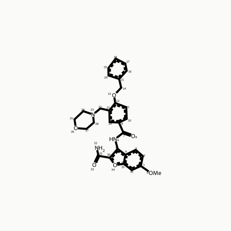 COc1ccc2c(NC(=O)c3ccc(OCc4ccccc4)c(CN4CCOCC4)c3)c(C(N)=O)oc2c1